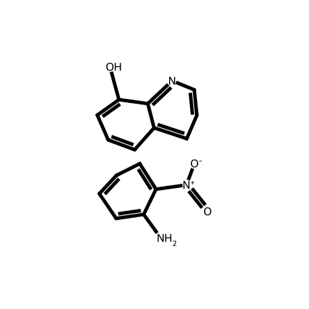 Nc1ccccc1[N+](=O)[O-].Oc1cccc2cccnc12